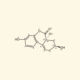 O=C1Oc2cc(O)ccc2C2=CC[C@H](O)C[C@H]12